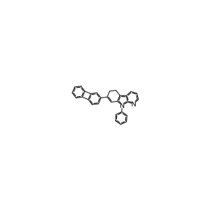 C1=C(c2ccc3c(c2)-c2ccccc2-3)CCc2c1n(-c1ccccc1)c1ncccc21